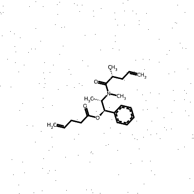 C=CCCC(=O)O[C@H](c1ccccc1)[C@H](C)N(C)C(=O)[C@H](C)CC=C